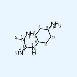 CN(N)C(=N)N[C@H]1CC[C@@H](N)CC1